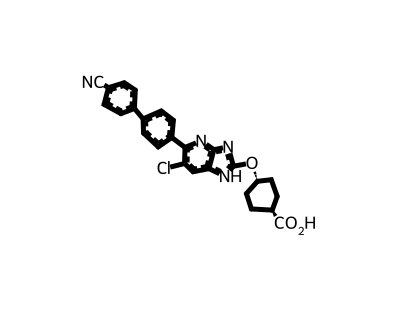 N#Cc1ccc(-c2ccc(-c3nc4nc(O[C@H]5CC[C@H](C(=O)O)CC5)[nH]c4cc3Cl)cc2)cc1